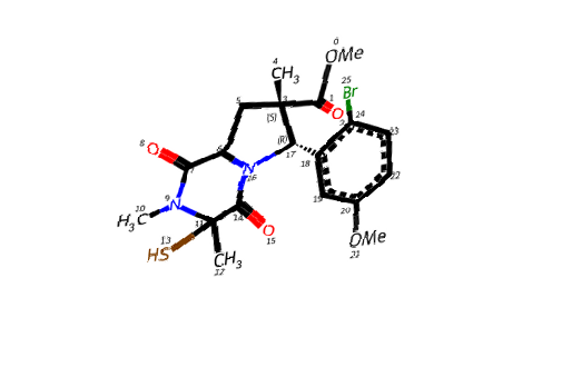 COC(=O)[C@@]1(C)CC2C(=O)N(C)C(C)(S)C(=O)N2[C@H]1c1cc(OC)ccc1Br